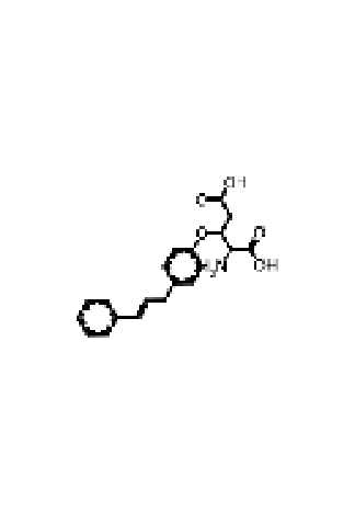 N[C@H](C(=O)O)C(CC(=O)O)Oc1ccc(CC=Cc2ccccc2)cc1